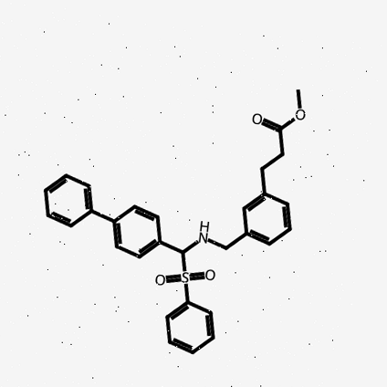 COC(=O)CCc1cccc(CNC(c2ccc(-c3ccccc3)cc2)S(=O)(=O)c2ccccc2)c1